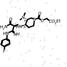 CCOC(=O)COC(=O)N1CC[C@@H](N/C=C(\C(=N)Nc2ccc(F)cc2)C(N)=O)[C@H](N(C)C)C1